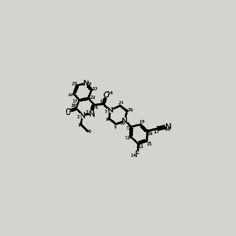 CCn1nc(C(=O)N2CCN(c3cc(F)cc(C#N)c3)CC2)c2cnccc2c1=O